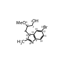 COC(CO)Cn1c(C)nc2ccc(Br)cc21